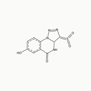 O=C1NC2C(=S(=O)=O)N=NN2c2ccc(O)cc21